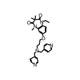 CCN1C(=O)C(C)(C)C(=O)N(C)c2cc(OCCCN(Cc3ccncc3)Cc3ccncc3)ccc21